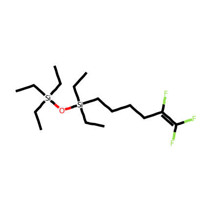 CC[Si](CC)(CC)O[Si](CC)(CC)CCCCC(F)=C(F)F